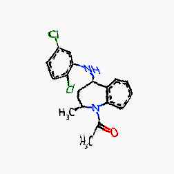 CC(=O)N1c2ccccc2[C@H](Nc2cc(Cl)ccc2Cl)C[C@@H]1C